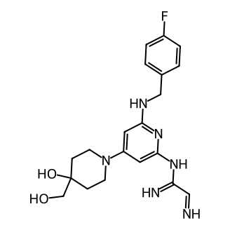 N=CC(=N)Nc1cc(N2CCC(O)(CO)CC2)cc(NCc2ccc(F)cc2)n1